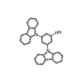 CCCc1cc(-n2c3ccccc3c3ccccc32)cc(-n2c3ccccc3c3ccccc32)c1